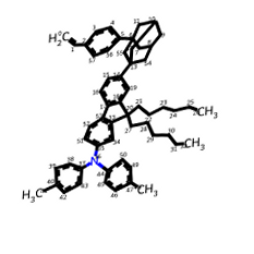 C=Cc1ccc(C23CC4CC(C2)CC(c2ccc5c(c2)C(CCCCCC)(CCCCCC)c2cc(N(c6ccc(C)cc6)c6ccc(C)cc6)ccc2-5)(C4)C3)cc1